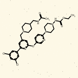 CCOC(=O)NN1CCN(c2ccc(Oc3cc(CN4CCC(CNC(C)=O)CC4)cc(-c4cc(Cl)cc(Cl)c4)n3)cn2)CC1